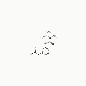 CC(C)N(C)C(=O)Nc1cccc(CC(=O)O)c1